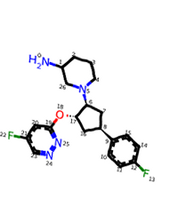 NC1CCCN([C@H]2C[C@@H](c3ccc(F)cc3)C[C@@H]2Oc2cc(F)cnn2)C1